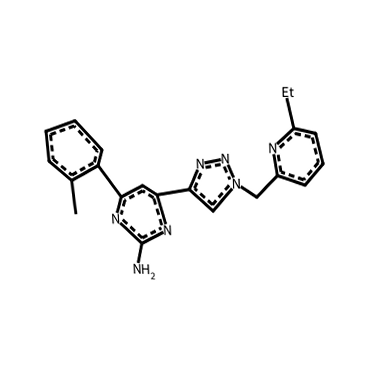 CCc1cccc(Cn2cc(-c3cc(-c4ccccc4C)nc(N)n3)nn2)n1